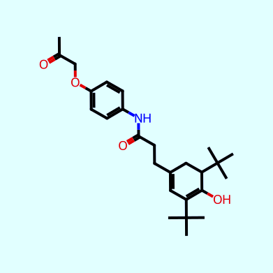 CC(=O)COc1ccc(NC(=O)CCC2=CC(C(C)(C)C)=C(O)C(C(C)(C)C)C2)cc1